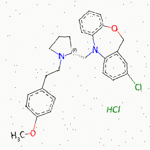 COc1ccc(CCN2CCC[C@@H]2CN2c3ccc(Cl)cc3COc3ccccc32)cc1.Cl